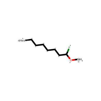 CCCCCCCCCCCCC(F)O[SiH3]